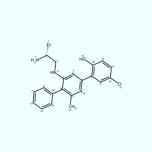 CC[C@@H](N)CNc1nc(-c2cc(Cl)ccc2O)nc(C)c1-c1ccccc1